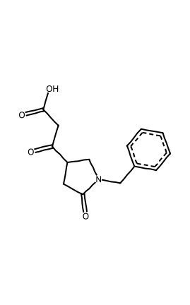 O=C(O)CC(=O)C1CC(=O)N(Cc2ccccc2)C1